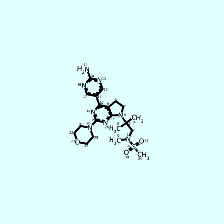 CN(CC(C)(C)N1CCc2c(-c3cnc(N)nc3)nc(N3CCOCC3)nc21)S(C)(=O)=O